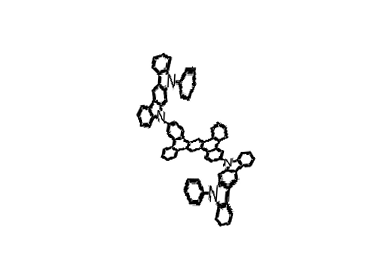 c1ccc(-n2c3ccccc3c3cc4c5ccccc5n(-c5ccc6c(c5)c5ccccc5c5cc7c8ccc(-n9c%10ccccc%10c%10cc%11c%12ccccc%12n(-c%12ccccc%12)c%11cc%109)cc8c8ccccc8c7cc65)c4cc32)cc1